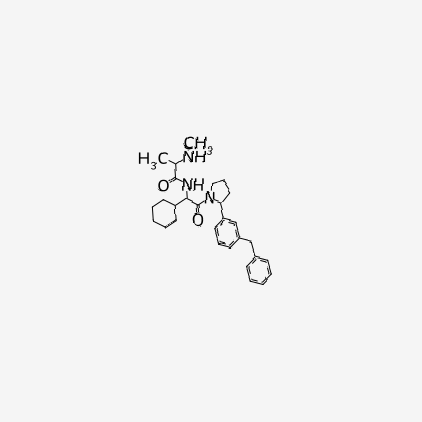 CNC(C)C(=O)NC(C(=O)N1CCCC1c1cccc(Cc2ccccc2)c1)C1CCCCC1